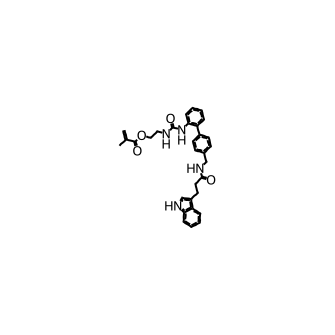 C=C(C)C(=O)OCCNC(=O)Nc1ccccc1-c1ccc(CNC(=O)CCc2c[nH]c3ccccc23)cc1